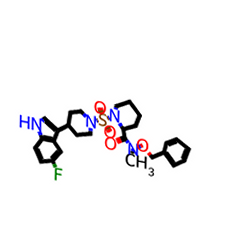 CN(OCc1ccccc1)C(=O)C1CCCCN1S(=O)(=O)N1CCC(c2c[nH]c3ccc(F)cc23)CC1